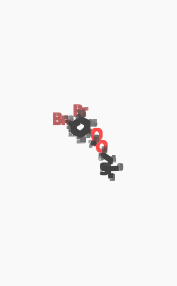 C[Si](C)(C)CCOCOc1ccc(Br)c(Br)c1